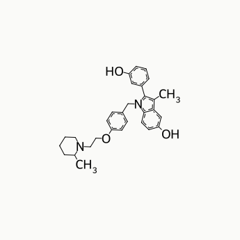 Cc1c(-c2cccc(O)c2)n(Cc2ccc(OCCN3CCCCC3C)cc2)c2ccc(O)cc12